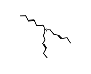 CCC=CCCN(CCC=CCC)CCC=CCC